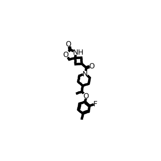 Cc1ccc(OC(C)C2CCN(C(=O)C3CC4(COC(=O)N4)C3)CC2)c(F)c1